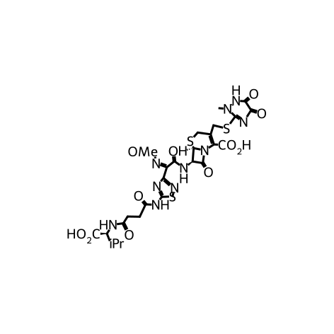 CO/N=C(\C(=O)N[C@@H]1C(=O)N2C(C(=O)O)=C(CSc3nc(=O)c(=O)[nH]n3C)CS[C@H]12)c1nsc(NC(=O)CCC(=O)N[C@H](C(=O)O)C(C)C)n1